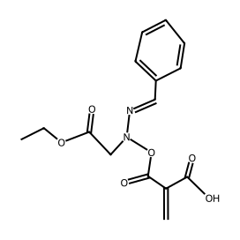 C=C(C(=O)O)C(=O)ON(CC(=O)OCC)N=Cc1ccccc1